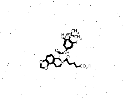 C[Si](C)(C)c1c(F)cc(NC(=O)[C@H]2c3ccc4c(c3CCN2C(=O)CCCC(=O)O)OCO4)cc1F